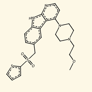 COCCN1CCN(c2ccnc3[nH]c4ccc(CS(=O)(=O)c5cccs5)cc4c23)CC1